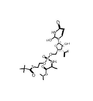 C=C(F)[C@H]1[C@@H](O)[C@H](N2C=CC(=O)NC2O)O[C@@H]1COP(=O)(NC(C)C(=O)OC(C)C)OCCSC(=O)C(C)(C)C